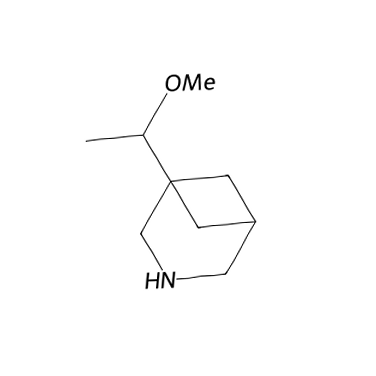 COC(C)C12CNCC(C1)C2